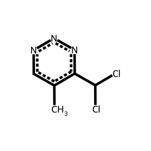 Cc1cnnnc1C(Cl)Cl